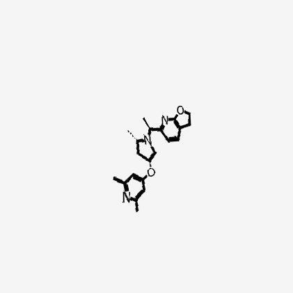 Cc1cc(O[C@@H]2C[C@H](C)N([C@@H](C)c3ccc4c(n3)OCC4)C2)cc(C)n1